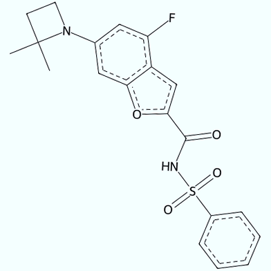 CC1(C)CCN1c1cc(F)c2cc(C(=O)NS(=O)(=O)c3ccccc3)oc2c1